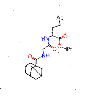 CC(=O)CCC(NC(=O)CNC(=O)C12CC3CC(CC(C3)C1)C2)C(=O)OC(C)C